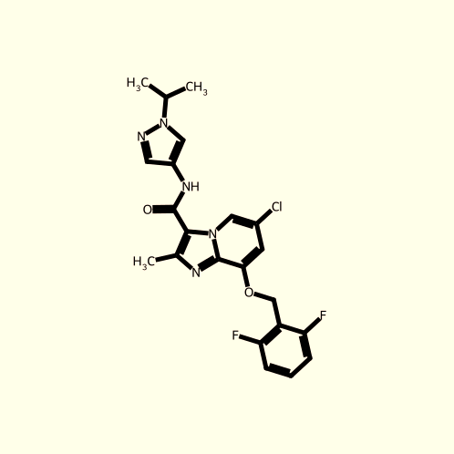 Cc1nc2c(OCc3c(F)cccc3F)cc(Cl)cn2c1C(=O)Nc1cnn(C(C)C)c1